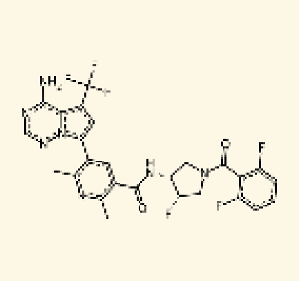 Cc1nc(C)c(-c2cc(C(F)(F)F)c3c(N)ncnn23)cc1C(=O)N[C@@H]1CN(C(=O)c2c(F)cccc2F)C[C@@H]1F